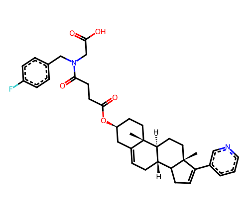 C[C@]12CC[C@H](OC(=O)CCC(=O)N(CC(=O)O)Cc3ccc(F)cc3)CC1=CC[C@H]1C3CC=C(c4cccnc4)[C@@]3(C)CC[C@@H]12